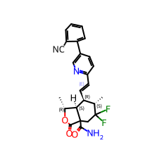 C[C@H]1OC(=O)C2(C(N)=O)CC(F)(F)[C@@H](C)[C@H](/C=C/c3ccc(-c4ccccc4C#N)cn3)[C@H]12